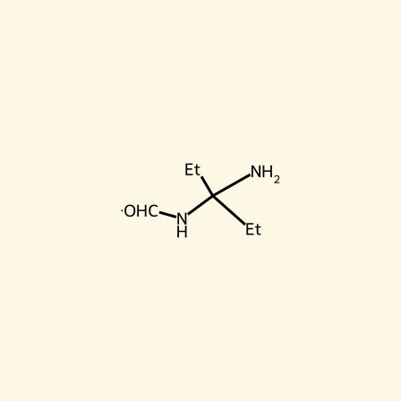 CCC(N)(CC)N[C]=O